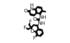 Cc1ccc2[nH]c(=O)ccc2c1NC(=O)N[C@@H]1CC(CF)(CF)Oc2c(F)cccc21